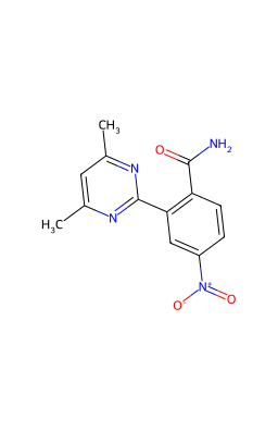 Cc1cc(C)nc(-c2cc([N+](=O)[O-])ccc2C(N)=O)n1